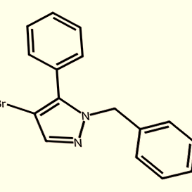 Brc1cnn(Cc2ccccc2)c1-c1ccccc1